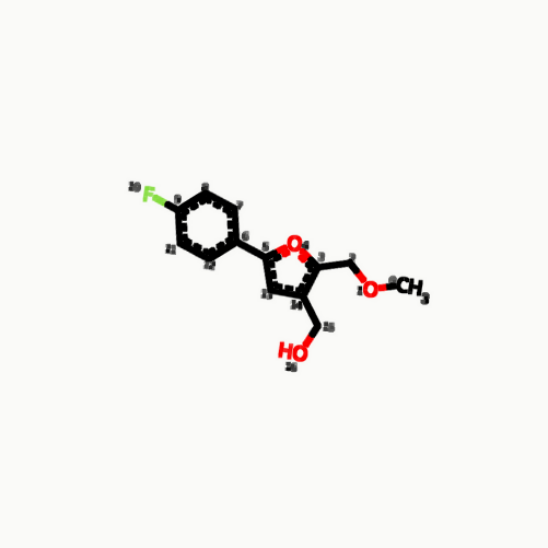 COCc1oc(-c2ccc(F)cc2)cc1CO